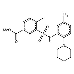 COC(=O)c1ccc(C)c(S(=O)(=O)Nc2cc(C(F)(F)F)ccc2N2CCCCC2)c1